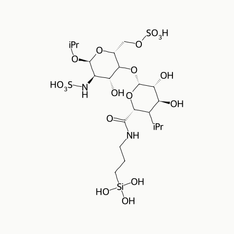 CC(C)O[C@H]1O[C@H](COS(=O)(=O)O)C(O[C@H]2O[C@@H](C(=O)NCCC[Si](O)(O)O)C(C(C)C)[C@H](O)[C@H]2O)[C@H](O)[C@H]1NS(=O)(=O)O